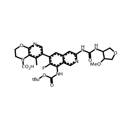 COC1COCC1NC(=O)Nc1cc2cc(-c3cnc4c(c3C)N(C(=O)O)CCO4)c(F)c(NC(=O)OC(C)(C)C)c2cn1